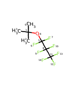 CC(C)(C)OC(F)(F)C(F)(F)C(F)(F)F